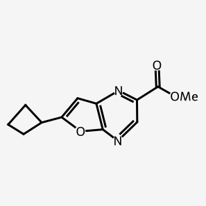 COC(=O)c1cnc2oc(C3CCC3)cc2n1